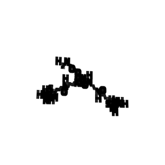 N=C1N[C@H]2[C@H](CS[C@H]2CCCCC(=O)NCCCCNC(=O)CN(CCOCCOCCN)CC(=O)NCCCCNC(=O)CCCC[C@@H]2SC[C@@H]3NC(=N)N[C@@H]32)N1